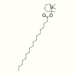 CCCCCCCCCCCCCCCCCC(=O)OC1(C)CCCC[Si]1(C)C